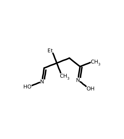 CCC(C)(C=NO)CC(C)=NO